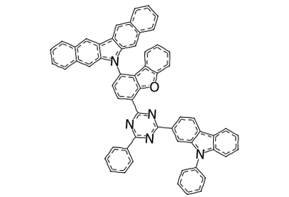 c1ccc(-c2nc(-c3ccc4c5ccccc5n(-c5ccccc5)c4c3)nc(-c3ccc(-n4c5cc6ccccc6cc5c5cc6ccccc6cc54)c4c3oc3ccccc34)n2)cc1